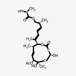 CCCN(C)C(=O)OC[C@H](C)/C=C/C=C(\C)[C@H]1OC(=O)C[C@H](O)CC[C@@](C)(O)[C@@H](OC(C)=O)/C=C/[C@@H]1C